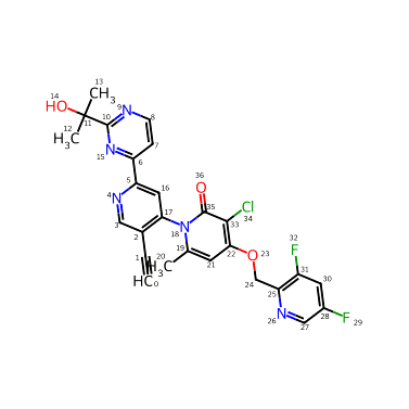 C#Cc1cnc(-c2ccnc(C(C)(C)O)n2)cc1-n1c(C)cc(OCc2ncc(F)cc2F)c(Cl)c1=O